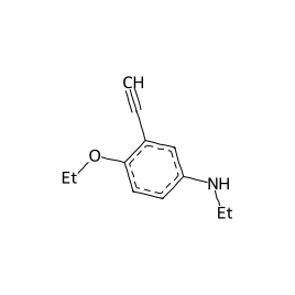 C#Cc1cc(NCC)ccc1OCC